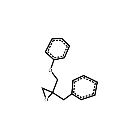 c1ccc(CC2(COc3ccccc3)CO2)cc1